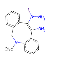 N/C1=C(\N(N)I)c2ccccc2CN(C=O)c2ccccc21